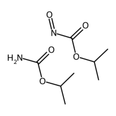 CC(C)OC(=O)N=O.CC(C)OC(N)=O